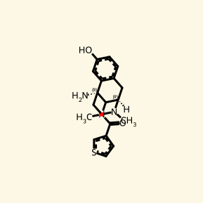 CN(C(=O)c1ccsc1)C1[C@H]2Cc3ccc(O)cc3[C@]1(N)CCN2C